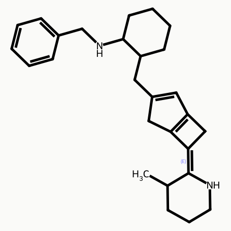 CC1CCCN/C1=C1\CC2=C1CC(CC1CCCCC1NCc1ccccc1)=C2